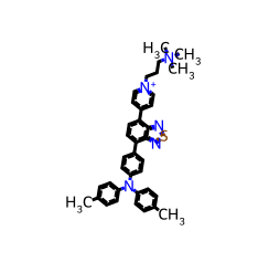 Cc1ccc(N(c2ccc(C)cc2)c2ccc(-c3ccc(-c4cc[n+](CCC[N+](C)(C)C)cc4)c4nsnc34)cc2)cc1